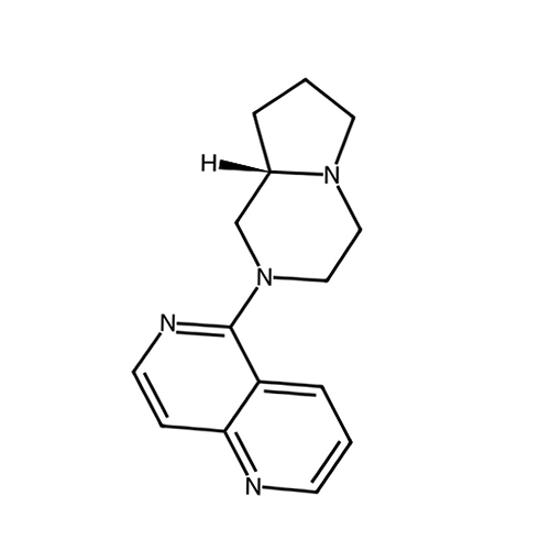 c1cnc2ccnc(N3CCN4CCC[C@H]4C3)c2c1